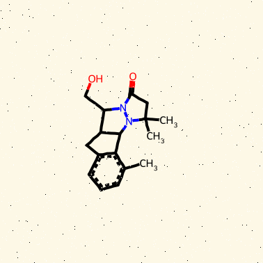 Cc1cccc2c1C1C(C2)C(CO)N2C(=O)CC(C)(C)N12